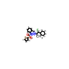 CC(NCc1ccccc1NS(=O)(=O)c1cccs1)C(F)C1CCCCC1